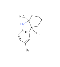 CC(C)c1ccc2c(c1)C1(C)CCCCC1(C)N2